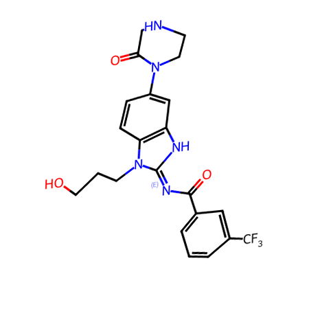 O=C(/N=c1\[nH]c2cc(N3CCNCC3=O)ccc2n1CCCO)c1cccc(C(F)(F)F)c1